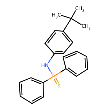 CC(C)(C)c1ccc(NP(=S)(c2ccccc2)c2ccccc2)cc1